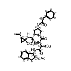 C=C[C@@H]1C[C@]1(NC(=O)[C@@H]1C[C@@H](OC(=O)Nc2ccccc2)CN1C(=O)NC(C(=O)N[C@H]1c2ccccc2C[C@H]1OC(C)=O)C(C)(C)C)C(=O)OCC